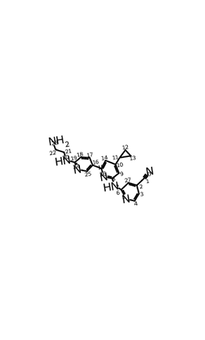 N#Cc1ccnc(Nc2cc(C3CC3)cc(-c3ccc(NCCN)nc3)n2)c1